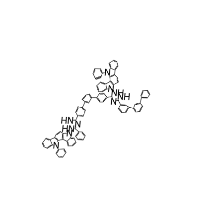 N=C(/N=C(\Nn1c2ccccc2c2c1ccc1c3ccccc3n(-c3c#cccc3)c12)c1ccc(-c2cccc(-c3ccc(C(=N)/N=C(\Nn4c5ccccc5c5c4ccc4c6ccccc6n(-c6ccccc6)c45)c4ccccc4)cc3)c2)cc1)c1cccc(-c2cccc(-c3ccccc3)c2)c1